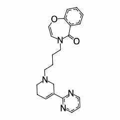 O=C1c2ccccc2OC=CN1CCCCN1CCC=C(c2ncccn2)C1